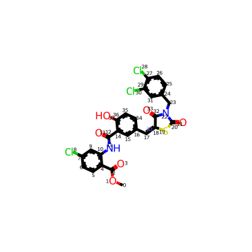 COC(=O)c1ccc(Cl)cc1NC(=O)c1cc(/C=C2/SC(=O)N(Cc3ccc(Cl)c(Cl)c3)C2=O)ccc1O